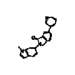 Cn1ccc2ccc(N3Cc4ccc(-c5cccnc5)cc4C3=O)cc21